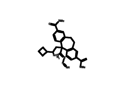 C=C(NC)c1ccc2c(c1)CCc1cc(C(=O)NC)ccc1C2(C[C@@H](N)C1CCC1)/C(N)=N/N=N